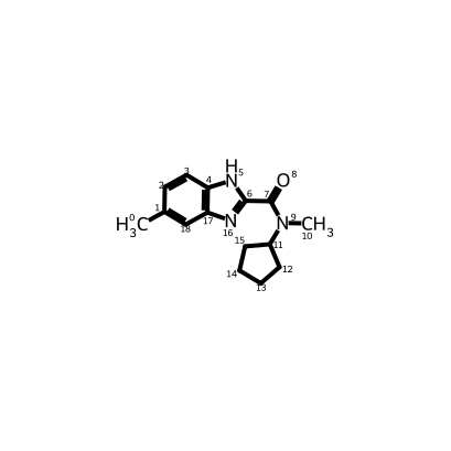 Cc1ccc2[nH]c(C(=O)N(C)C3CCCC3)nc2c1